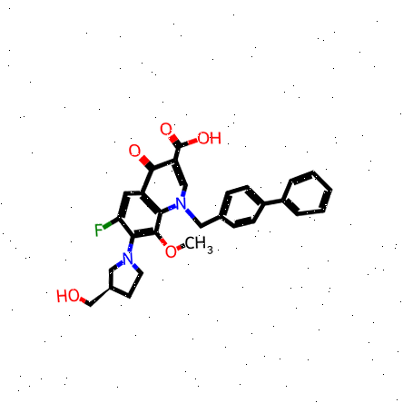 COc1c(N2CC[C@@H](CO)C2)c(F)cc2c(=O)c(C(=O)O)cn(Cc3ccc(-c4ccccc4)cc3)c12